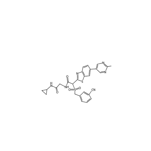 Cc1ncc(-c2ccc3nc(C(C(=O)NCC(=O)NC4CC4)S(=O)(=O)Cc4cccc(C#N)c4)sc3c2)cn1